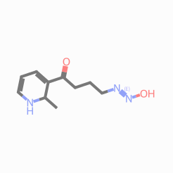 CC1NC=CC=C1C(=O)CCC/N=N/O